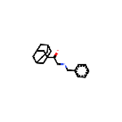 O=C(CNCc1ccccc1)C12CC3CC(CC(C3)C1)C2